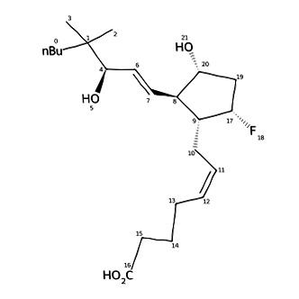 CCCCC(C)(C)[C@H](O)/C=C/[C@@H]1[C@@H](C/C=C\CCCC(=O)O)[C@@H](F)C[C@H]1O